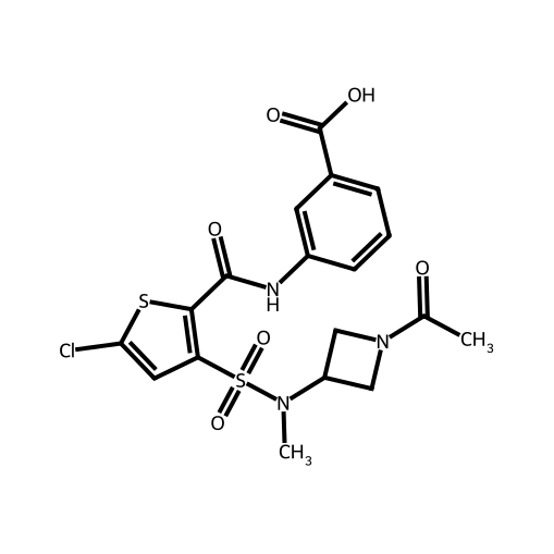 CC(=O)N1CC(N(C)S(=O)(=O)c2cc(Cl)sc2C(=O)Nc2cccc(C(=O)O)c2)C1